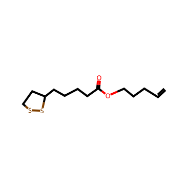 C=CCCCOC(=O)CCCCC1CCSS1